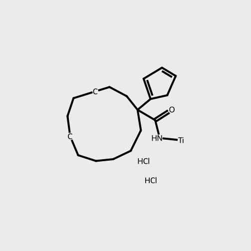 Cl.Cl.O=C([NH][Ti])C1(C2=CC=CC2)CCCCCCCCCCC1